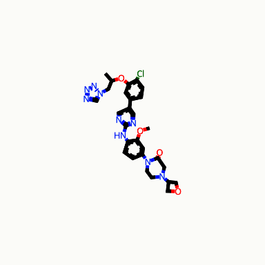 COc1cc(N2CCN(C3COC3)CC2=O)ccc1Nc1ncc(-c2ccc(Cl)c(OC(C)Cn3cnnn3)c2)cn1